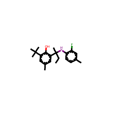 CCC(C)(Pc1ccc(C)cc1F)c1cc(C)cc(C(C)(C)C)c1O